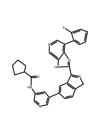 O=C(Nc1cncc(-c2ccc3c(c2)C(c2nc4c(-c5ccccc5F)cncc4[nH]2)=NC3)c1)C1CCCC1